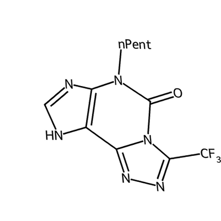 CCCCCn1c(=O)n2c(C(F)(F)F)nnc2c2[nH]cnc21